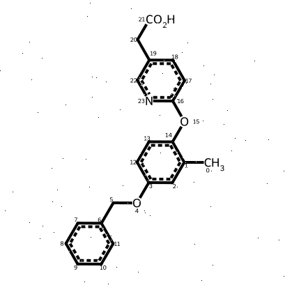 Cc1cc(OCc2ccccc2)ccc1Oc1ccc(CC(=O)O)cn1